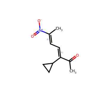 CC(=O)/C(=C/C=C(\C)[N+](=O)[O-])C1CC1